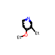 CCOc1ccncc1CC